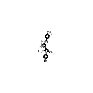 Cc1ccc(C(=O)Nc2cc(-c3cc(C)n(-c4ccc(Br)cc4)c3C)[nH]n2)cc1